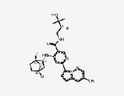 CC(C)(O)[C@H](F)CNC(=O)c1cnc(-c2ccc3cc(C#N)cnn23)cc1N[C@@H]1C[C@@H]2CC[C@H]1O2